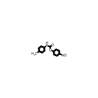 Cc1ccc(NC(=O)Oc2ccc(N=O)cc2)cc1